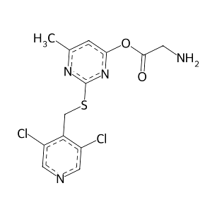 Cc1cc(OC(=O)CN)nc(SCc2c(Cl)cncc2Cl)n1